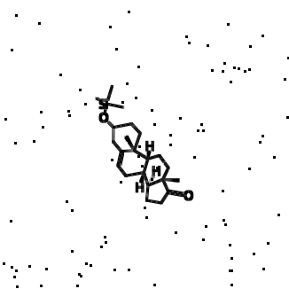 C[C@]12CCC(O[Si](C)(C)C)CC1=CC[C@@H]1[C@H]2CC[C@]2(C)C(=O)CC[C@@H]12